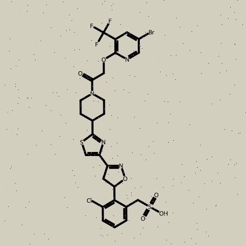 O=C(COc1ncc(Br)cc1C(F)(F)F)N1CCC(c2nc(C3=NOC(c4c(Cl)cccc4CS(=O)(=O)O)C3)cs2)CC1